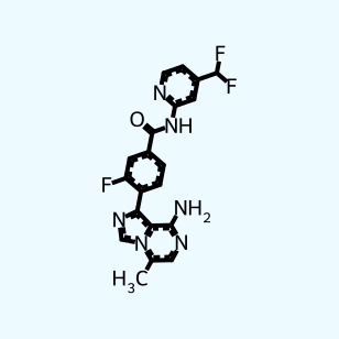 Cc1cnc(N)c2c(-c3ccc(C(=O)Nc4cc(C(F)F)ccn4)cc3F)ncn12